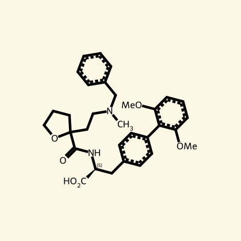 COc1cccc(OC)c1-c1ccc(C[C@H](NC(=O)C2(CCN(C)Cc3ccccc3)CCCO2)C(=O)O)cc1